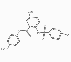 COc1ccc(NS(=O)(=O)c2ccc(Cl)cc2)c(C(=O)Nc2ccc(C(=O)O)cc2)c1